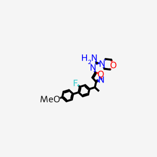 COc1ccc(-c2ccc(C(C)c3cc(/N=C(/N)N4CCOCC4)on3)cc2F)cc1